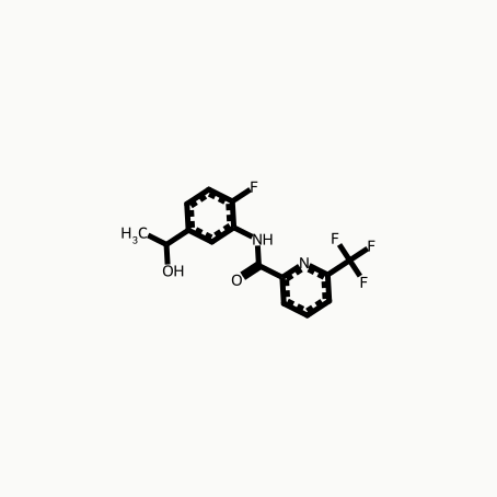 CC(O)c1ccc(F)c(NC(=O)c2cccc(C(F)(F)F)n2)c1